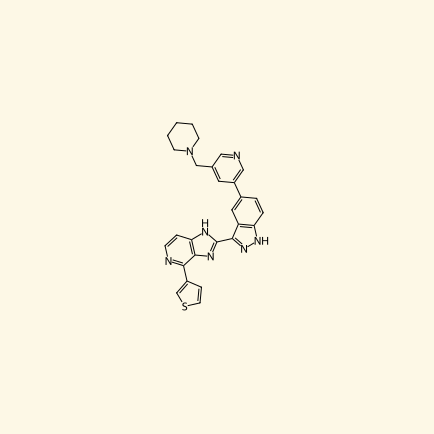 c1cc2[nH]c(-c3n[nH]c4ccc(-c5cncc(CN6CCCCC6)c5)cc34)nc2c(-c2ccsc2)n1